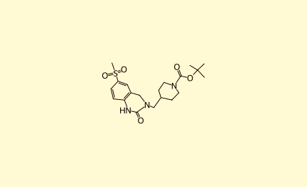 CC(C)(C)OC(=O)N1CCC(CN2Cc3cc(S(C)(=O)=O)ccc3NC2=O)CC1